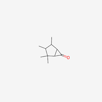 CC1C2C(=O)C2C(C)(C)C1C